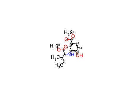 CCC(C)C(Nc1cc(C(=O)OC)ccc1O)C(=O)OC